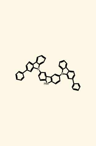 c1ccc(-c2ccc3c4ccccc4n(-c4ccc5[nH]c6ccc(-n7c8ccccc8c8ccc(-c9ccccc9)cc87)cc6c5c4)c3c2)cc1